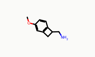 COc1ccc2c(c1)CC2CN